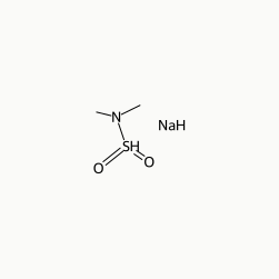 CN(C)[SH](=O)=O.[NaH]